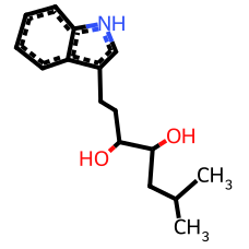 CC(C)CC(O)C(O)CCc1c[nH]c2ccccc12